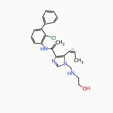 C=C(Nc1cccc(-c2ccccc2)c1Cl)c1ncn(CNCCO)c1/C=C\C